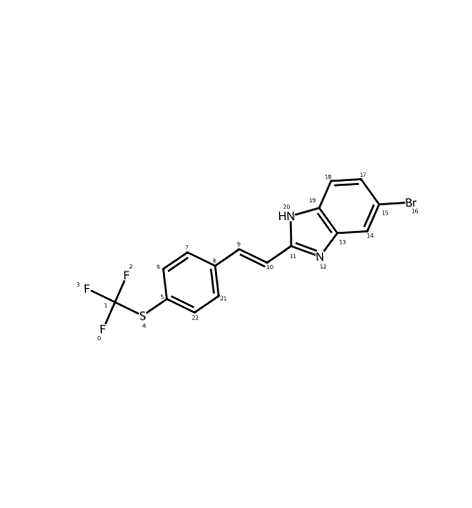 FC(F)(F)Sc1ccc(C=Cc2nc3cc(Br)ccc3[nH]2)cc1